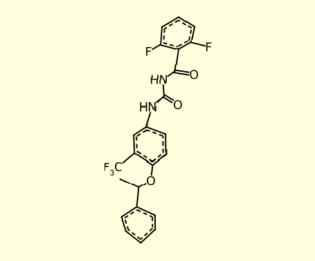 CC(Oc1ccc(NC(=O)NC(=O)c2c(F)cccc2F)cc1C(F)(F)F)c1ccccc1